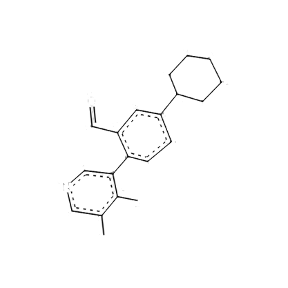 Cc1cncc(-c2ccc(C3CCCCC3)cc2C=O)c1C